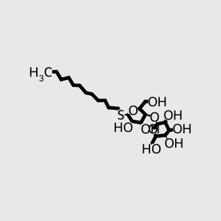 CCCCCCCCCCCCS[C@@H]1OC(CO)[C@@H](O[C@H]2OC(CO)[C@@H](O)C(O)C2O)C(O)C1O